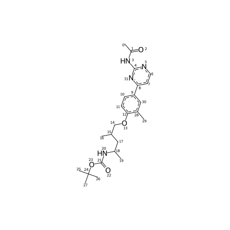 CC(=O)Nc1nccc(-c2ccc(OCC(C)CC(C)NC(=O)OC(C)(C)C)c(C)c2)n1